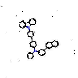 c1ccc(N(c2ccc(-c3ccc(-n4c5ccccc5c5ccccc54)cc3)cc2)c2cccc(-c3ccc4ccccc4c3)c2)cc1